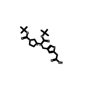 CC(C)(C)OC(=O)[C@@H](Cc1csc(CC(=O)O)c1)[C@H]1CCN(C(=O)OC(C)(C)C)C1